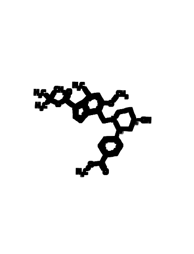 COC(=O)c1ccc([C@@H]2C[C@@H](O)CCN2Cc2c(OC)cc(C)c3c2ccn3C(=O)OC(C)(C)C)cc1